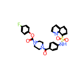 O=C(Oc1ccc(F)cc1)N1CCN(C(=O)c2ccc(NS(=O)(=O)c3cccc4cccnc34)cc2)CC1